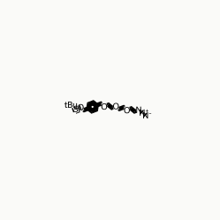 CC(C)(C)[Si](C)(C)OCc1ccc(COCCOCCOCCN=[N+]=[N-])cc1